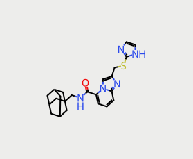 O=C(NCC12CC3CC(CC(C3)C1)C2)c1cccc2nc(CSc3ncc[nH]3)cn12